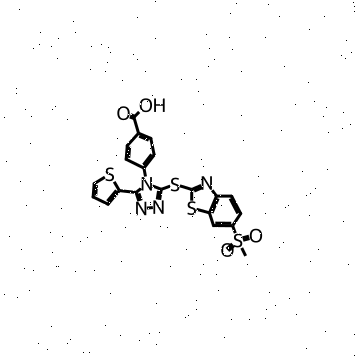 CS(=O)(=O)c1ccc2nc(Sc3nnc(-c4cccs4)n3-c3ccc(C(=O)O)cc3)sc2c1